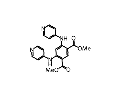 COC(=O)c1cc(C(=O)OC)c(Nc2ccncc2)cc1Nc1ccncc1